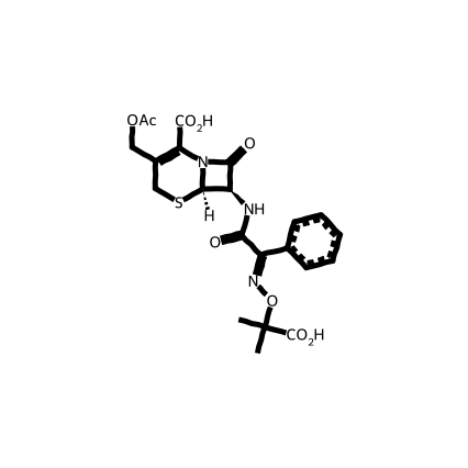 CC(=O)OCC1=C(C(=O)O)N2C(=O)[C@@H](NC(=O)/C(=N/OC(C)(C)C(=O)O)c3ccccc3)[C@H]2SC1